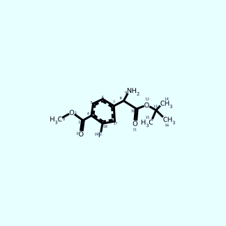 COC(=O)c1ccc(C(N)C(=O)OC(C)(C)C)cc1F